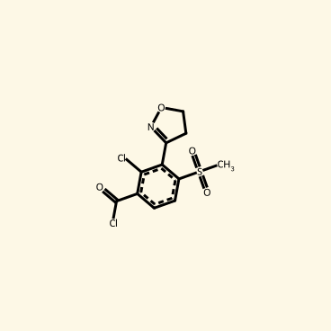 CS(=O)(=O)c1ccc(C(=O)Cl)c(Cl)c1C1=NOCC1